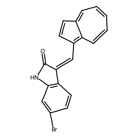 O=C1Nc2cc(Br)ccc2/C1=C/c1ccc2cccccc1-2